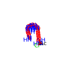 CC(=O)N1c2ccc(-c3ccc(C(=O)NCCOCCOCCOCCOCCOCCOCCOCCOCCNC(=O)c4nc(NC(=O)CCNC(=O)c5cc(NC(=O)c6nc(NC(=O)CCNC(=O)c7cc(NC(=O)c8nc(NC(=O)CCNC(=O)COCCOCCOCCN9CCN(CC%10CCNCC%10)CC9)cn8C)cn7C)cn6C)cn5C)cn4C)cc3)cc2[C@H](Nc2ccc(Cl)cc2)C[C@@H]1C